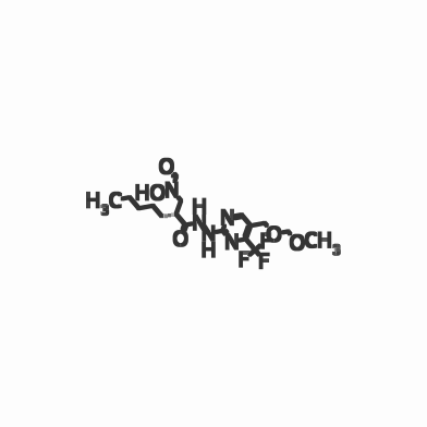 CCCCC[C@H](CN(O)C=O)C(=O)NNc1ncc(COCOC)c(C(F)(F)F)n1